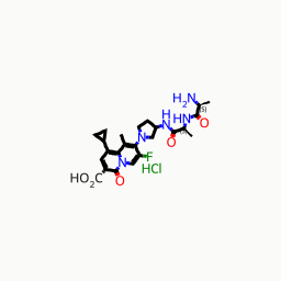 Cc1c(N2CCC(NC(=O)[C@H](C)NC(=O)[C@H](C)N)C2)c(F)cn2c(=O)c(C(=O)O)cc(C3CC3)c12.Cl